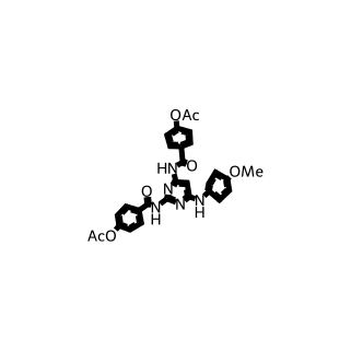 COc1ccc(Nc2cc(NC(=O)c3ccc(OC(C)=O)cc3)nc(NC(=O)c3ccc(OC(C)=O)cc3)n2)cc1